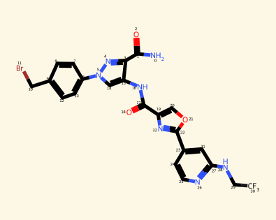 NC(=O)c1nn(-c2ccc(CBr)cc2)cc1NC(=O)c1coc(-c2ccnc(NCC(F)(F)F)c2)n1